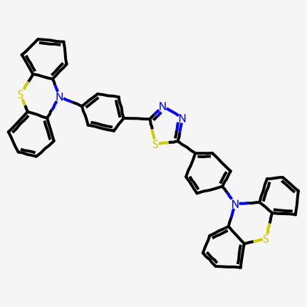 c1ccc2c(c1)Sc1ccccc1N2c1ccc(-c2nnc(-c3ccc(N4c5ccccc5Sc5ccccc54)cc3)s2)cc1